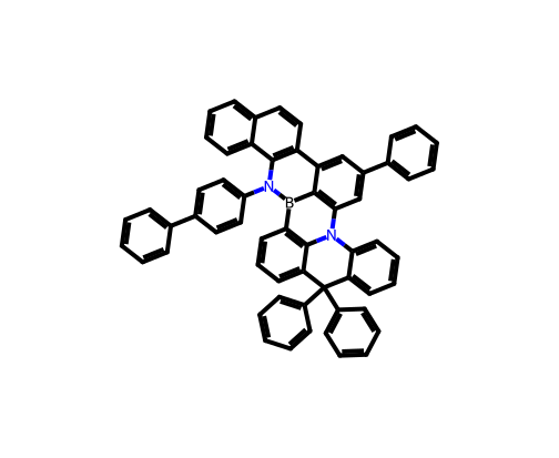 c1ccc(-c2ccc(N3B4c5cccc6c5N(c5ccccc5C6(c5ccccc5)c5ccccc5)c5cc(-c6ccccc6)cc(c54)-c4ccc5ccccc5c43)cc2)cc1